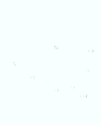 COC(=O)c1c(OC)c(-c2cccnc2Cl)n2c1C(O)CCC2